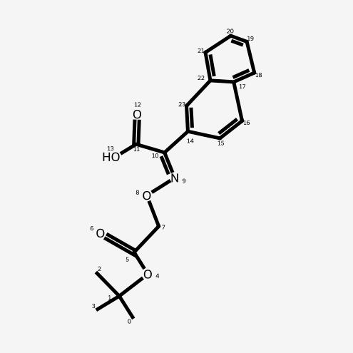 CC(C)(C)OC(=O)CON=C(C(=O)O)c1ccc2ccccc2c1